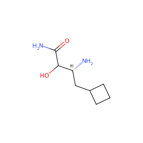 NC(=O)C(O)[C@H](N)CC1CCC1